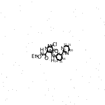 CCONC(=O)c1nnc(Cl)cc1Nc1cccc(-c2ncccn2)c1OC